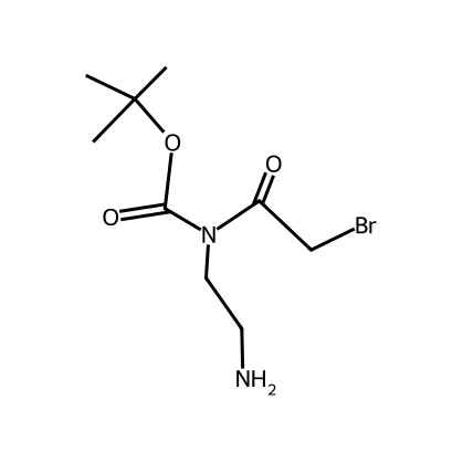 CC(C)(C)OC(=O)N(CCN)C(=O)CBr